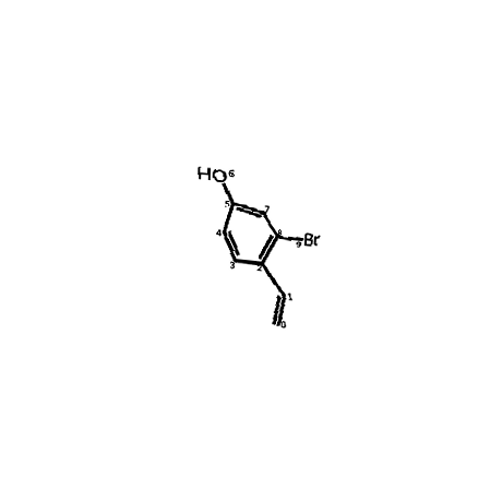 C=Cc1ccc(O)cc1Br